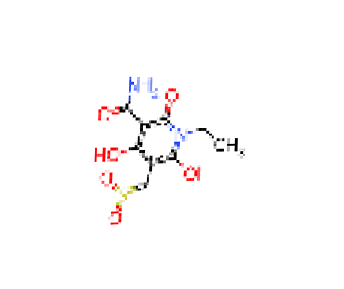 CCn1c(O)c(C=S(=O)=O)c(O)c(C(N)=O)c1=O